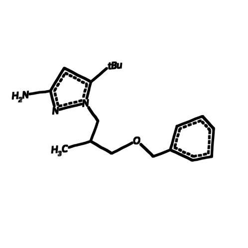 CC(COCc1ccccc1)Cn1nc(N)cc1C(C)(C)C